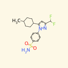 CC1CCC(c2cc(C(F)F)nn2-c2ccc(S(N)(=O)=O)cc2)CC1